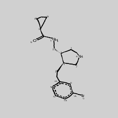 O=C(NC[C@@H]1CNC[C@H]1Cc1cccc(Br)c1)C1CC1